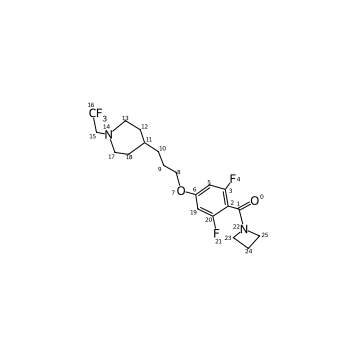 O=C(c1c(F)cc(OCCCC2CCN(CC(F)(F)F)CC2)cc1F)N1CCC1